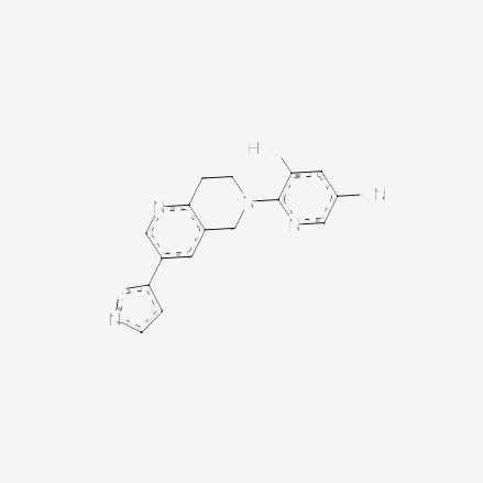 Cc1cc(C#N)cnc1N1CCc2ncc(-c3ccns3)cc2C1